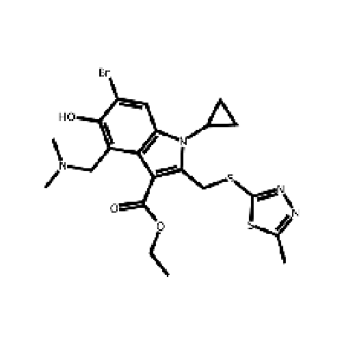 CCOC(=O)c1c(CSc2nnc(C)s2)n(C2CC2)c2cc(Br)c(O)c(CN(C)C)c12